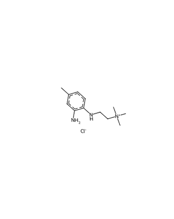 Cc1ccc(NCC[N+](C)(C)C)c(N)c1.[Cl-]